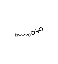 BrCCCCCCOc1ccc(N=Nc2ccccc2)cc1